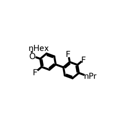 CCCCCCOc1ccc(-c2ccc(CCC)c(F)c2F)cc1F